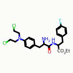 CCOC(=O)C(Cc1ccc(F)cc1)NC(=O)C(N)Cc1ccc(N(CCCl)CCCl)cc1